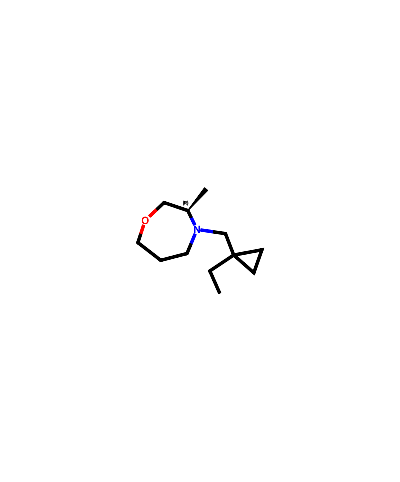 CCC1(CN2CCCOC[C@H]2C)CC1